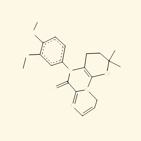 COc1ccc(N2C(=O)C3=NC=CCN3C3=C2CCC(C)(C)N3)cc1OC